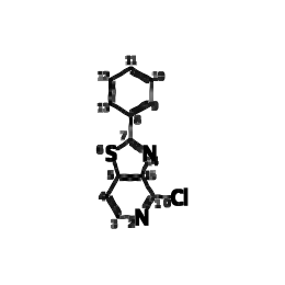 Clc1nccc2sc(-c3ccccc3)nc12